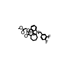 COC(=O)COc1cccc2c1c1c(n2Cc2ccc(F)c(F)c2)CCCCC1C(N)=O